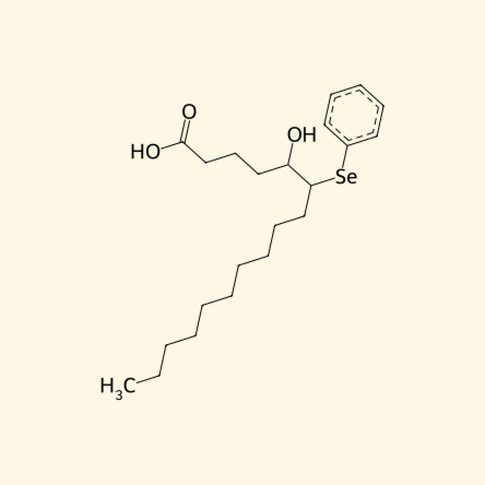 CCCCCCCCCCC([Se]c1ccccc1)C(O)CCCC(=O)O